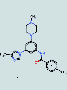 Cc1ccc(C(=O)Nc2cc(N3CCN(C)CC3)cc(-n3cnc(C)c3)c2)cc1